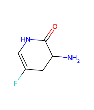 NC1CC(F)=CNC1=O